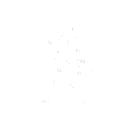 C#Cc1c(F)ccc2cc(O)cc(-c3nc4c5c(nc(OC[C@@]67CCCN6C[C@@H](OC(F)(F)F)C7)nc5c3F)N3C[C@H]5CC[C@H](N5)[C@H]3CC4)c12